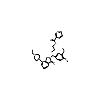 CCN1CCN(c2cccc3c2CN([C@H](CCCNC(=O)c2ccnnc2)c2ccc(OC)c(OC)c2)C3=O)CC1